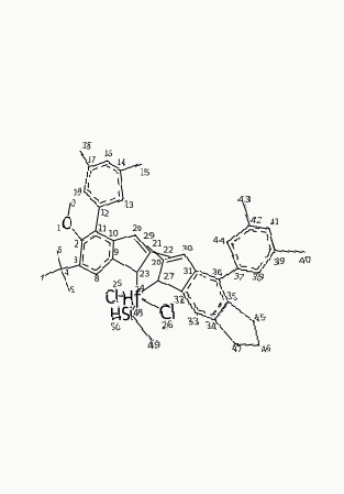 COc1c(C(C)(C)C)cc2c(c1-c1cc(C)cc(C)c1)C=C(C)[CH]2[Hf]([Cl])([Cl])([CH]1C(C)=Cc2c1cc1c(c2-c2cc(C)cc(C)c2)CCC1)[SiH](C)C